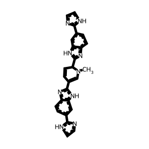 CN1C=C(c2nc3ccc(-c4ncc[nH]4)cc3[nH]2)C=CC1c1nc2ccc(-c3ncc[nH]3)cc2[nH]1